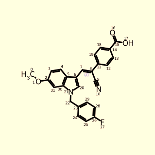 COc1ccc2c(/C=C(\C#N)c3ccc(C(=O)O)cc3)cn(Cc3ccc(F)cc3)c2c1